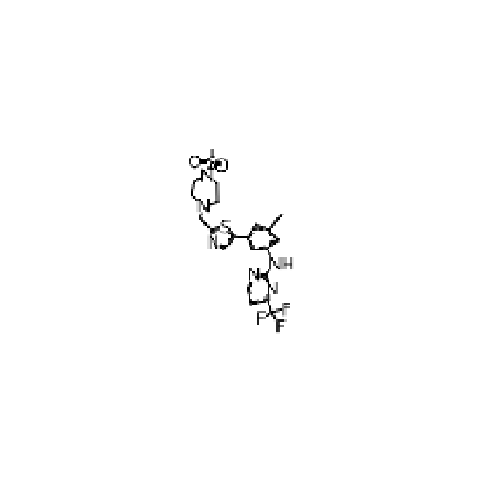 Cc1cc(Nc2nccc(C(F)(F)F)n2)cc(-c2cnc(CN3CCN(S(C)(=O)=O)CC3)s2)c1